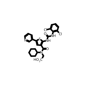 O=C(O)CN(C(=O)c1cc(-c2cccnc2)sc1NC(=O)Nc1c(Cl)cccc1Cl)C1CCCCC1